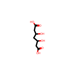 O=C(O)CC(O)CC(O)CC(=O)O